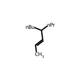 CC=CC(CCC)CCCC